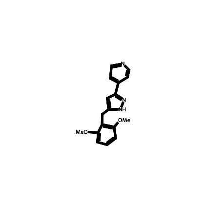 COc1cccc(OC)c1Cc1cc(-c2ccncc2)n[nH]1